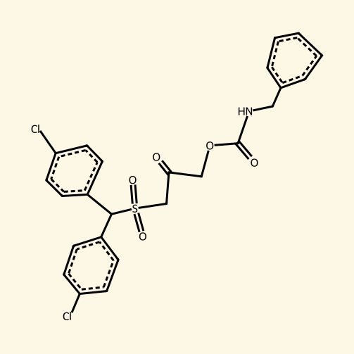 O=C(COC(=O)NCc1ccccc1)CS(=O)(=O)C(c1ccc(Cl)cc1)c1ccc(Cl)cc1